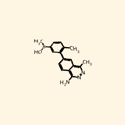 CB(O)c1ccc(C)c(-c2ccc3c(N)nnc(C)c3c2)c1